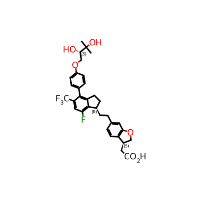 CC(C)(O)[C@@H](O)COc1ccc(-c2c(C(F)(F)F)cc(F)c3c2CC[C@H]3CCc2ccc3c(c2)OC[C@H]3CC(=O)O)cc1